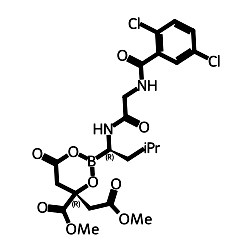 COC(=O)C[C@@]1(C(=O)OC)CC(=O)OB([C@H](CC(C)C)NC(=O)CNC(=O)c2cc(Cl)ccc2Cl)O1